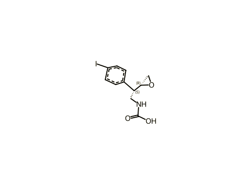 O=C(O)NC[C@H](c1ccc(I)cc1)[C@@H]1CO1